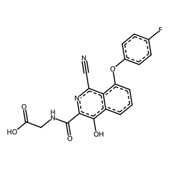 N#Cc1nc(C(=O)NCC(=O)O)c(O)c2cccc(Oc3ccc(F)cc3)c12